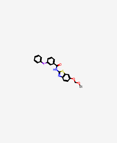 CCOCOc1ccc2nc(NC(=O)c3cccc([I+]c4ccccc4)c3)sc2c1